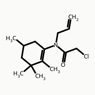 C=CCN(C(=O)CCl)C1=C(C)C(C)(C)CC(C)C1